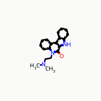 CN(C)CCn1c(=O)c2[nH]c3ccccc3c2c2ccccc21